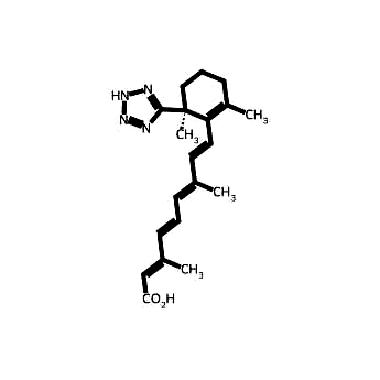 CC1=C(/C=C/C(C)=C/C=C/C(C)=C/C(=O)O)[C@@](C)(c2nn[nH]n2)CCC1